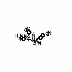 CN1CCN(c2ccc3cc(/C=C(\C#N)C(=O)NCCCn4c(Sc5cc6c(cc5N(C)C)OCO6)nc5c(N)nccc54)ccc3c2)CC1